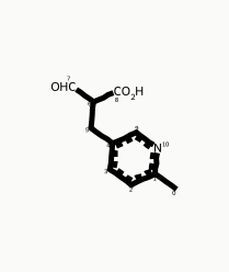 Cc1ccc(CC(C=O)C(=O)O)cn1